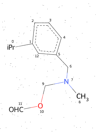 CC(C)c1cccc(CN(C)COC=O)c1